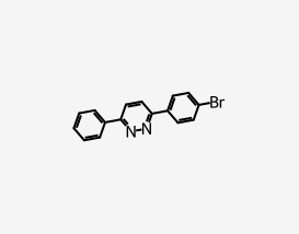 Brc1ccc(-c2ccc(-c3ccccc3)nn2)cc1